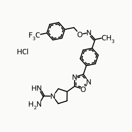 CC(=NOCc1ccc(C(F)(F)F)cc1)c1ccc(-c2noc(C3CCN(C(=N)N)C3)n2)cc1.Cl